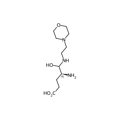 N[C@@H](CCC(=O)O)C(O)NCCN1CCOCC1